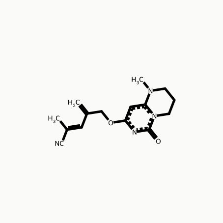 C=C(/C=C(\C)C#N)COc1cc2n(c(=O)n1)CCCN2C